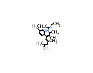 C=C(NCC)NC(=C)/C(C)=C(/C=C(\C)CC(C)C)c1ccc(CC)cc1